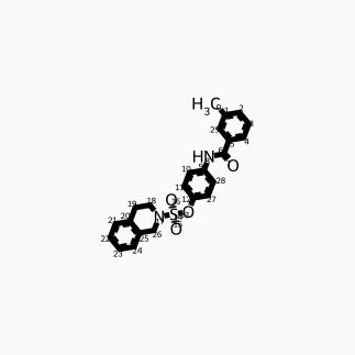 Cc1cccc(C(=O)Nc2ccc(OS(=O)(=O)N3CCc4ccccc4C3)cc2)c1